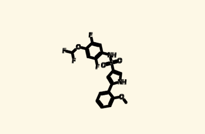 COc1ccccc1-c1cc(S(=O)(=O)Nc2cc(F)c(OC(F)F)cc2F)c[nH]1